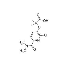 CN(C)C(=O)c1ccc(OC2(C(=O)O)CC2)c(Cl)n1